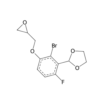 Fc1ccc(OCC2CO2)c(Br)c1C1OCCO1